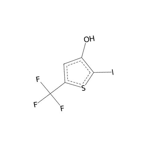 Oc1cc(C(F)(F)F)sc1I